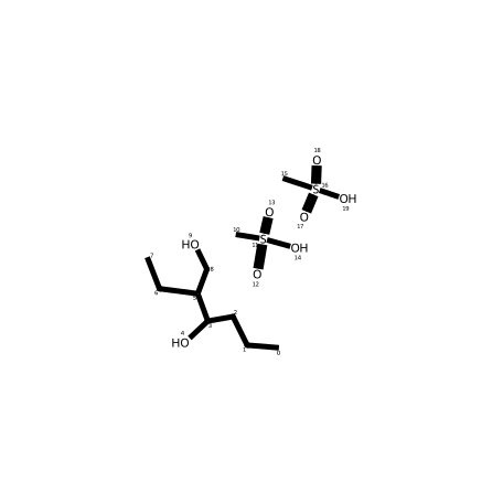 CCCC(O)C(CC)CO.CS(=O)(=O)O.CS(=O)(=O)O